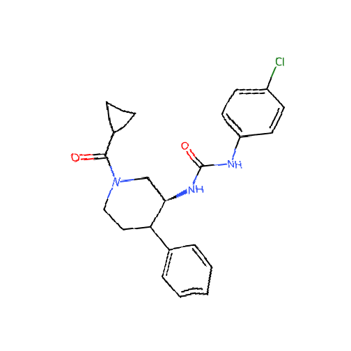 O=C(Nc1ccc(Cl)cc1)N[C@@H]1CN(C(=O)C2CC2)CCC1c1ccccc1